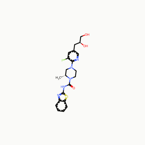 C[C@@H]1CN(c2ncc(C[C@H](O)CO)cc2F)CCN1C(=O)Nc1nc2ccccc2s1